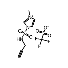 C#CCNS(=O)(=O)n1cc[n+](C)c1.O=S(=O)([O-])C(F)(F)F